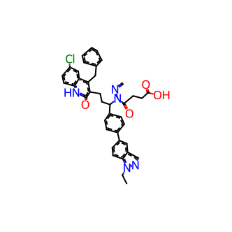 C=NN(C(=O)CCC(=O)O)C(CCc1c(Cc2ccccc2)c2cc(Cl)ccc2[nH]c1=O)c1ccc(-c2ccc3c(cnn3CC)c2)cc1